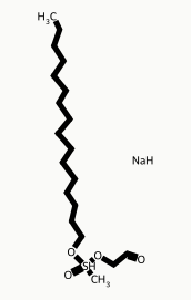 CCCCCCCCCCCCCCCCO[SH](C)(=O)OCC=O.[NaH]